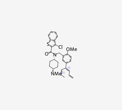 C=C/C=C(\C=C/C)c1ccc(OC)c(CN(C(=O)c2sc3ccccc3c2Cl)[C@H]2CC[C@H](NC)CC2)c1